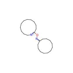 C1CCCCCC(=NO/C2=N/CCCCCCCCCCC2)CCCCC1